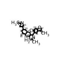 Cc1nc(N)c(C(C)c2cc(F)cc(-c3cnn(C)c3)c2)c(-c2ccc3occ(C)c3c2)n1